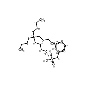 CCCC[N+](CCCC)(CCCC)CCCC.O=S(=O)([O-])Cc1ccccc1